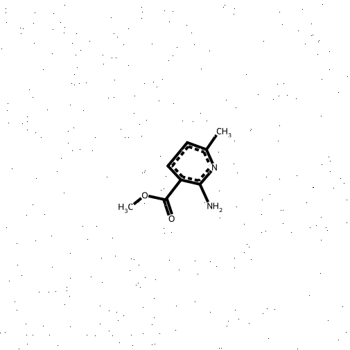 COC(=O)c1ccc(C)nc1N